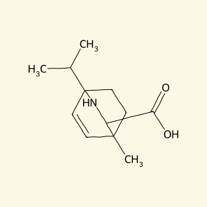 CC(C)C12C=CC(C)(CC1)C(C(=O)O)N2